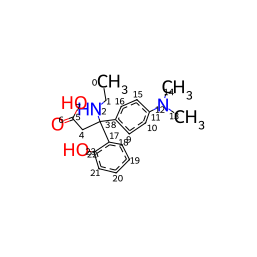 CCNC(CC(=O)O)(c1ccc(N(C)C)cc1)c1ccccc1O